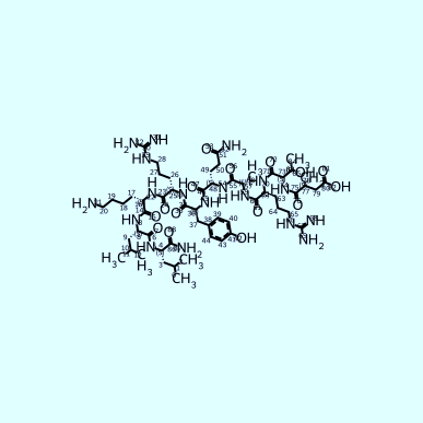 CC(C)C[C@H](NC(=O)[C@H](CC(C)C)NC(=O)[C@H](CCCCN)NC(=O)[C@H](CCCNC(=N)N)NC(=O)[C@H](Cc1ccc(O)cc1)NC(=O)[C@H](CCC(N)=O)NC(=O)[C@H](C)NC(=O)[C@H](CCCNC(=N)N)NC(=O)[C@@H](NC(=O)[C@@H](C)CC(=O)O)[C@@H](C)O)C(N)=O